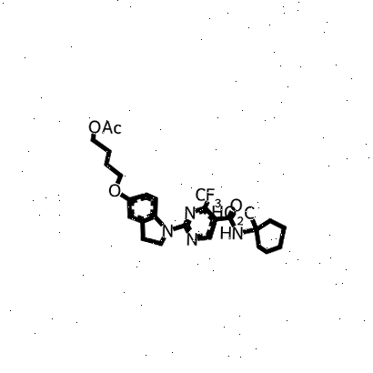 CC(=O)OCCCCOc1ccc2c(c1)CCN2c1ncc(C(=O)NC2(C(=O)O)CCCCC2)c(C(F)(F)F)n1